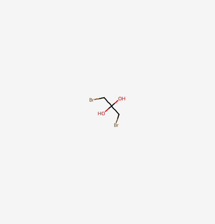 OC(O)(CBr)CBr